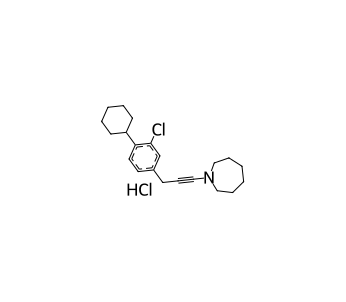 Cl.Clc1cc(CC#CN2CCCCCC2)ccc1C1CCCCC1